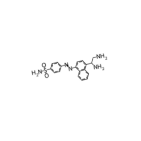 NCC(N)c1ccc(N=Nc2ccc(S(N)(=O)=O)cc2)c2ccccc12